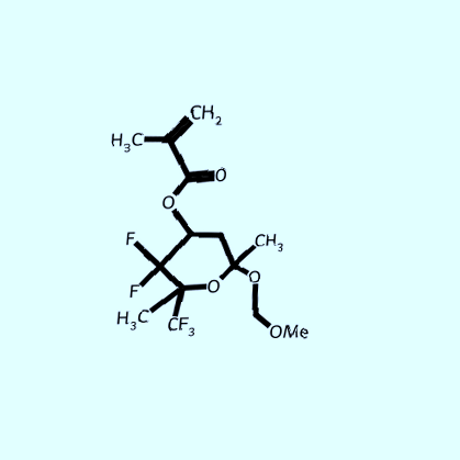 C=C(C)C(=O)OC1CC(C)(OCOC)OC(C)(C(F)(F)F)C1(F)F